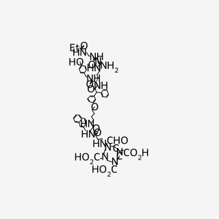 CCC(=O)NCCNC(=O)/N=C(/N)NCCC[C@@H](NC(=O)C(c1ccccc1)c1cccc(OCCCCNC(=O)[C@@H](Cc2ccc3ccccc3c2)NC(=O)CCNC(C=O)N2CCN(CC(=O)O)CCN(CC(=O)O)CCN(CC(=O)O)CC2)c1)C(=O)NCc1ccc(O)cc1